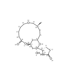 C[C@H]1CCC2C[C@H](C[C@](O)([C@@H]3CSC(=O)N3)O2)OC(=O)CCCCOC1